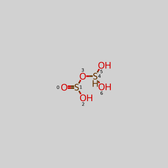 O=S(O)O[SH](O)O